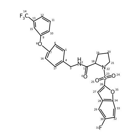 O=C(NCc1ccc(Oc2cccc(C(F)(F)F)c2)cc1)C1CCCN1S(=O)(=O)c1cc2cc(F)ccc2o1